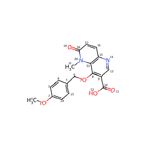 COc1ccc(COc2c(C(=O)O)cnc3ccc(=O)n(C)c23)cc1